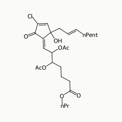 CCCCCC=CCC1(O)C=C(Cl)C(=O)C1=CC(OC(C)=O)C(CCCC(=O)OCCC)OC(C)=O